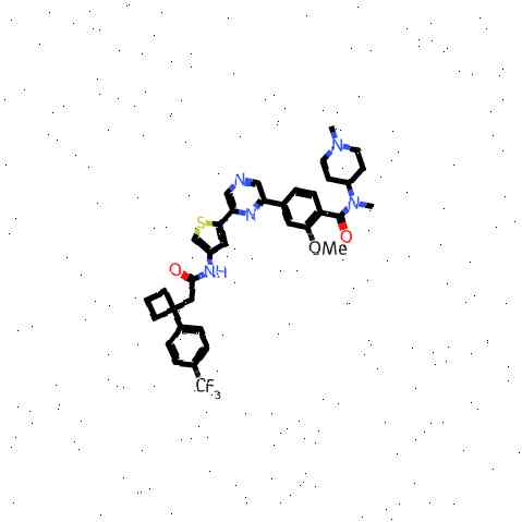 COc1cc(-c2cncc(-c3cc(NC(=O)CC4(c5ccc(C(F)(F)F)cc5)CCC4)cs3)n2)ccc1C(=O)N(C)C1CCN(C)CC1